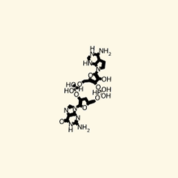 Nc1nc2c(ncn2C2=C3C/C(=C\O[PH](O)(O)Oc4c(oc(N5C=CC6C(N)NCNC65)c4O)CO[PH](O)(O)O3)O2)c(=O)[nH]1